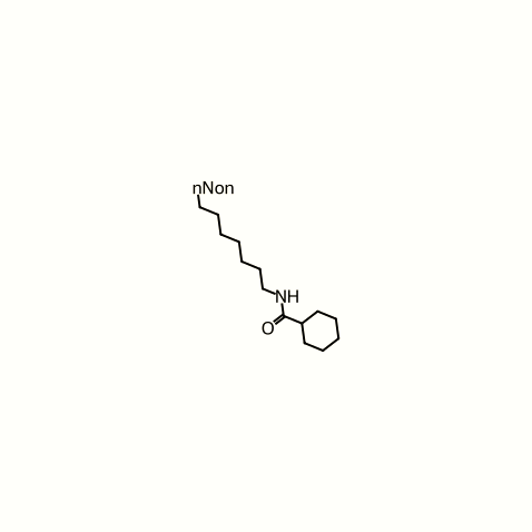 CCCCCCCCCCCCCCCCNC(=O)C1CCCCC1